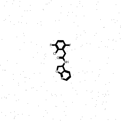 O=C(Cc1c(F)ccc(F)c1Cl)NC1COc2ncccc21